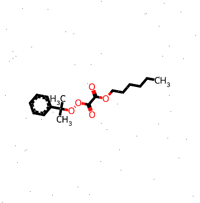 CCCCCCOC(=O)C(=O)OOC(C)(C)c1ccccc1